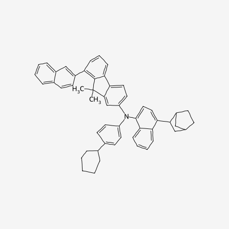 CC1(C)c2cc(N(c3ccc(C4CCCCC4)cc3)c3ccc(C4CC5CCC4C5)c4ccccc34)ccc2-c2cccc(-c3ccc4ccccc4c3)c21